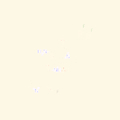 Cc1nc2c(OC(F)(F)F)cc(C(=O)NC[C@](O)(c3cc4c(c(-c5ccc6c(c5)OC(F)(F)O6)n3)OC[C@]4(C)C(N)=O)C3CC3)cc2s1